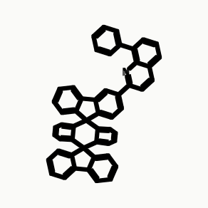 c1ccc(-c2cccc3ccc(-c4ccc5c(c4)-c4ccccc4C54c5ccccc5C5(c6ccccc6-c6ccccc65)c5ccccc54)nc23)cc1